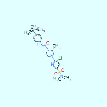 C[C@@H]1CN(c2ncc(S(=O)(=O)N(C)C)cc2Cl)CCN1C(=O)Nc1ccc([Si](C)(C)C)cc1